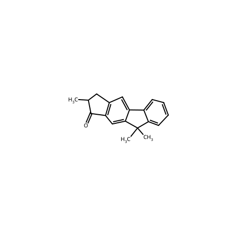 CC1Cc2cc3c(cc2C1=O)C(C)(C)c1ccccc1-3